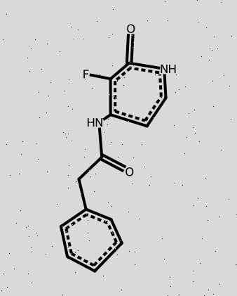 O=C(Cc1ccccc1)Nc1cc[nH]c(=O)c1F